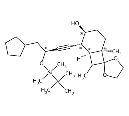 CC1[C@H]2[C@H](C#C[C@H](CC3CCCC3)O[Si](C)(C)C(C)(C)C)[C@@H](O)CC[C@@]2(C)C12OCCO2